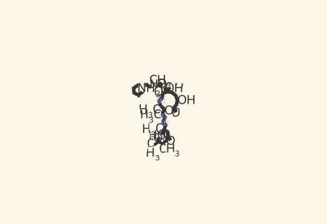 CCC(O)C(C)C1OC1CC(C)(O)/C=C/C=C(\C)C1OC(=O)CC(O)CCC(C)(O)C(OC(=O)N(C)CCN2CCCCC2)/C=C/C1C